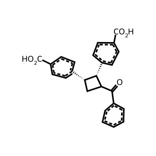 O=C(O)c1ccc([C@H]2CC(C(=O)c3ccccc3)[C@H]2c2ccc(C(=O)O)cc2)cc1